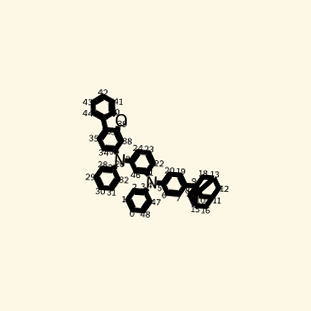 c1ccc(N(c2ccc(C34CC5CC(CC(C5)C3)C4)cc2)c2cccc(N(c3ccccc3)c3ccc4c(c3)oc3ccccc34)c2)cc1